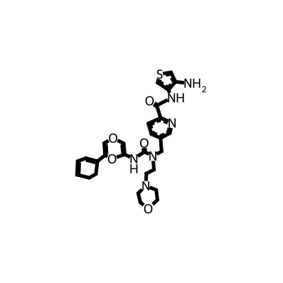 Nc1cscc1NC(=O)c1ccc(CN(CCN2CCOCC2)C(=O)NC2=COC=C(C3=CC=CCC3)O2)cn1